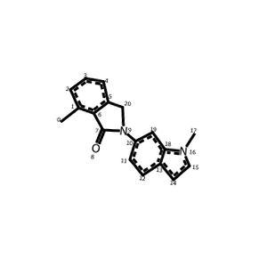 Cc1cccc2c1C(=O)N(c1ccc3ccn(C)c3c1)C2